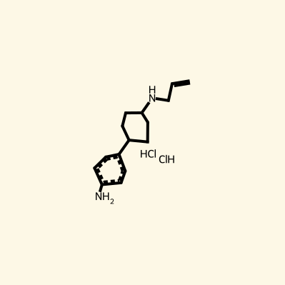 C=CCNC1CCC(c2ccc(N)cc2)CC1.Cl.Cl